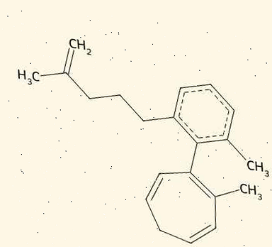 C=C(C)CCCc1cccc(C)c1C1=C(C)C=CCC=C1